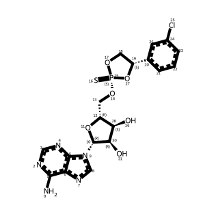 Nc1ncnc2c1ncn2[C@@H]1O[C@H](CO[P@]2(=S)OC[C@H](c3cccc(Cl)c3)O2)[C@@H](O)[C@H]1O